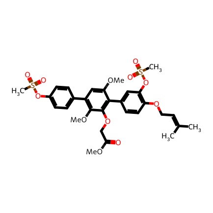 COC(=O)COc1c(OC)c(-c2ccc(OS(C)(=O)=O)cc2)cc(OC)c1-c1ccc(OCC=C(C)C)c(OS(C)(=O)=O)c1